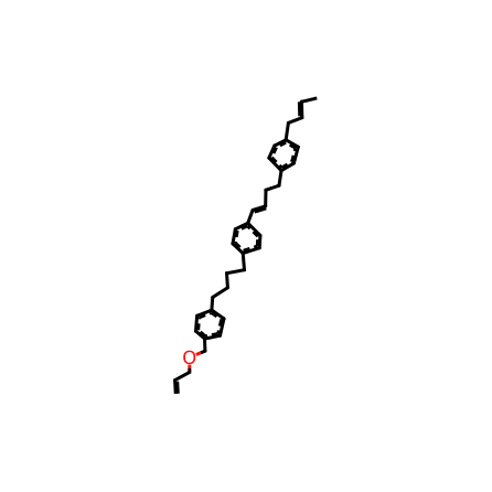 C=CCOCc1ccc(CCCCc2ccc(C=CCCc3ccc(CC=CC)cc3)cc2)cc1